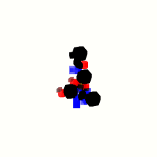 COc1cc(Nc2nc3ccccc3nc2NS(=O)(=O)c2cccc(NC(=O)Cc3ccccc3C)c2)cc(OC)c1